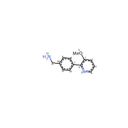 COc1cccnc1-c1ccc(CN)cc1